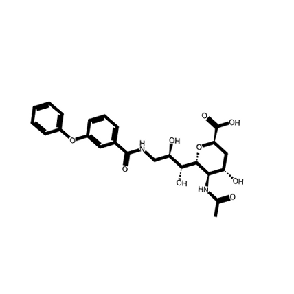 CC(=O)N[C@H]1[C@H]([C@H](O)[C@H](O)CNC(=O)c2cccc(Oc3ccccc3)c2)O[C@@H](C(=O)O)C[C@@H]1O